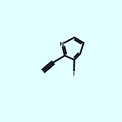 C#Cc1ncccc1I